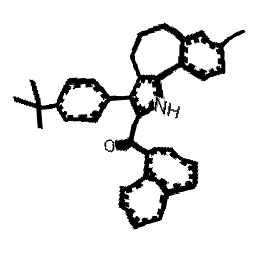 Cc1ccc2c(c1)CCCc1c-2[nH]c(C(=O)c2cccc3ccccc23)c1-c1ccc(C(C)(C)C)cc1